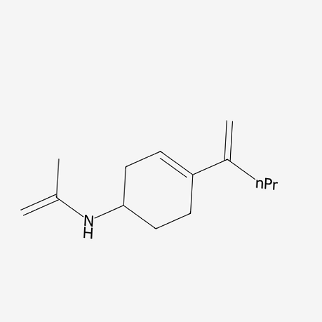 C=C(C)NC1CC=C(C(=C)CCC)CC1